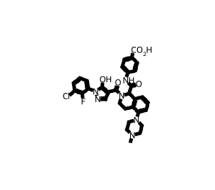 CN1CCN(c2cccc3c2CCN(C(=O)c2cnn(-c4cccc(Cl)c4F)c2O)C3C(=O)Nc2ccc(C(=O)O)cc2)CC1